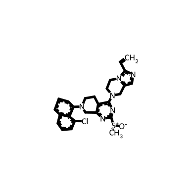 C=Cc1ncc2n1CCN(c1nc([S+](C)[O-])nc3c1CCN(c1cccc4cccc(Cl)c14)C3)C2